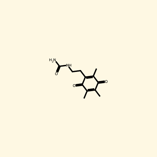 CC1=C(C)C(=O)C(CCNC(N)=O)=C(C)C1=O